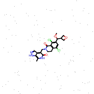 COC(c1cc(Cl)c2c(c1Cl)C(=O)N(Cc1c(=O)[nH]c(C)c3[nH]ncc13)CC2)C1COC1